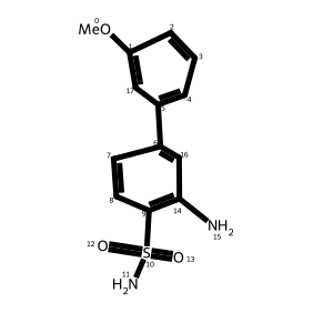 COc1cccc(-c2ccc(S(N)(=O)=O)c(N)c2)c1